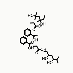 CCC(=O)O.CCC(=O)O.CCC(C)(O)CC(C)(C)O.CCC(O)CC(O)C(C)C.O=C(O)c1ccccc1.O=C(O)c1ccccc1